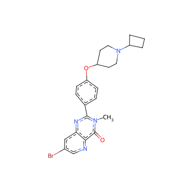 Cn1c(-c2ccc(OC3CCN(C4CCC4)CC3)cc2)nc2cc(Br)cnc2c1=O